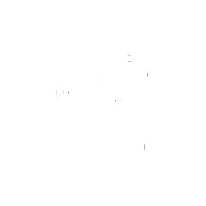 CCC1(CC)COC([C@]2(CO)CCCc3cc(Cl)ccc32)OC1